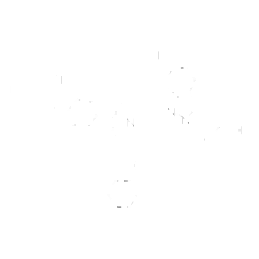 CC(C)Oc1ccc(S(=O)(=O)N2C[C@H](n3nc(CC(=O)O)c4ccc(F)cc43)C[C@@H]2COc2ccccc2F)cc1